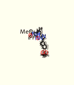 COC(=O)N[C@H](C(=O)N1[C@@H]2C[C@@H]2C[C@H]1c1ncc(-c2ccc3cc(B4OC(C)(C)C(C)(C)O4)ccc3c2)[nH]1)C(C)C